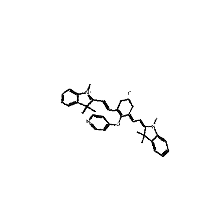 CN1/C(=C/C=C2\CCCC(/C=C/C3=[N+](C)c4ccccc4C3(C)C)=C2Oc2ccncc2)C(C)(C)c2ccccc21.[I-]